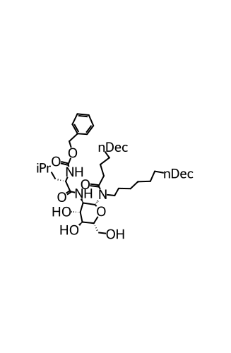 CCCCCCCCCCCCCCCCN(C(=O)CCCCCCCCCCCCC)[C@@H]1O[C@H](CO)[C@@H](O)[C@H](O)[C@H]1NC(=O)[C@H](CC(C)C)NC(=O)OCc1ccccc1